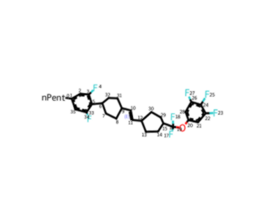 CCCCCc1cc(F)c(C2CCC(/C=C/C3CCC(C(F)(F)Oc4cc(F)c(F)c(F)c4)CC3)CC2)c(F)c1